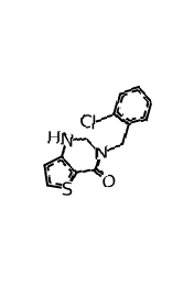 O=C1c2sccc2NCN1Cc1ccccc1Cl